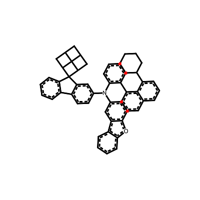 c1ccc(N(c2ccc3c(c2)C2(c4ccccc4-3)C3CC4CC5CC2C453)c2ccc3oc4ccccc4c3c2)c(-c2cccc3cccc(C4CCCCC4)c23)c1